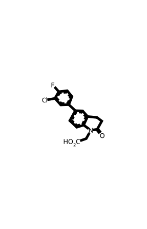 O=C(O)CN1C(=O)CCc2cc(-c3ccc(F)c(Cl)c3)ccc21